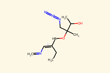 C=N/C=C(/BOC(C)(CN=[N+]=[N-])C(C)O)CC